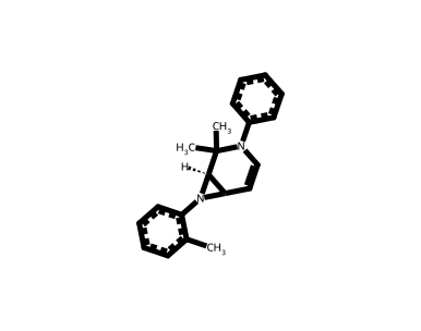 Cc1ccccc1N1C2C=CN(c3ccccc3)C(C)(C)[C@@H]21